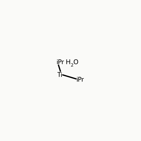 C[CH](C)[Ti][CH](C)C.O